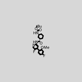 COc1cc(F)ccc1-c1cc(NC(=O)[C@H]2CCC[C@@H](NC(=O)OC(C)(C)C)C2)ncc1F